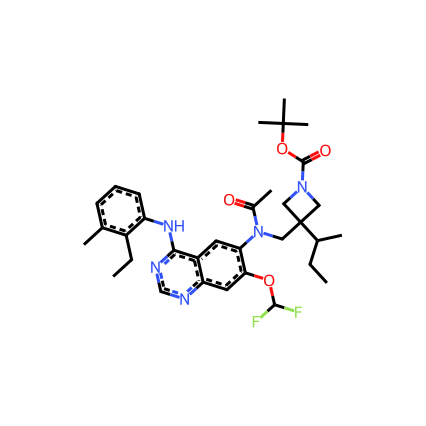 CCc1c(C)cccc1Nc1ncnc2cc(OC(F)F)c(N(CC3(C(C)CC)CN(C(=O)OC(C)(C)C)C3)C(C)=O)cc12